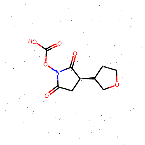 O=C(O)ON1C(=O)C[C@H](C2CCOC2)C1=O